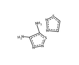 Nc1nnsc1N.c1csnn1